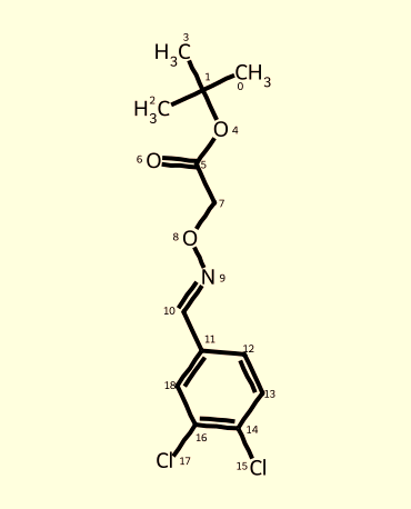 CC(C)(C)OC(=O)CO/N=C/c1ccc(Cl)c(Cl)c1